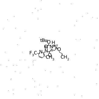 C=CCO[C@@]12C[C@@H](C(=O)Nc3nc(C(F)(F)F)ccc3C)N(C(=O)OC(C)(C)C)[C@@H]1C2